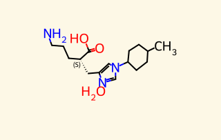 CC1CCC(n2cnc(C[C@H](CCCN)C(=O)O)c2)CC1.O